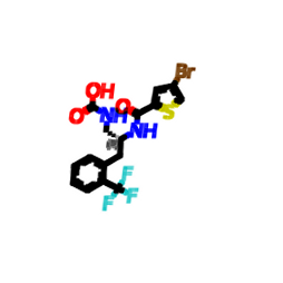 O=C(O)NC[C@@H](Cc1ccccc1C(F)(F)F)NC(=O)c1cc(Br)cs1